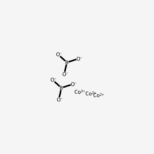 [Co+2].[Co+2].[Co+2].[O-]B([O-])[O-].[O-]B([O-])[O-]